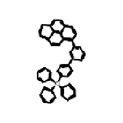 c1ccc([Si](c2ccccc2)(c2ccccc2)c2ccc(-c3cccc(-c4ccc5ccc6cccc7ccc4c5c67)c3)cc2)cc1